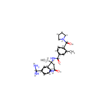 Cc1cc(C(=O)NC(CC([NH])=O)(C(=O)O)c2cccc(C(=N)N)c2)ccc1C(=O)N1CCCC1